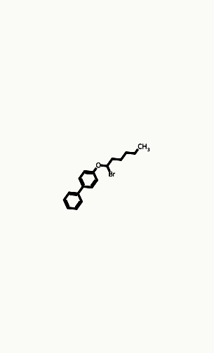 CCCCCC(Br)Oc1ccc(-c2ccccc2)cc1